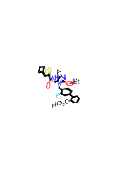 CCOc1nc(CC)c(CNC(=O)[C@@H](S)CC2CCC2)n1Cc1ccc(-c2ccccc2C(=O)O)cc1F